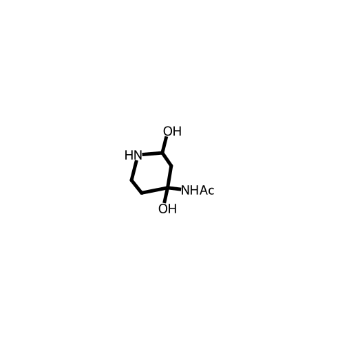 CC(=O)NC1(O)CCNC(O)C1